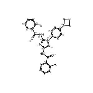 Cc1ccccc1C(=O)Nc1nc(NC(=O)c2ccccc2C)n(-c2ccc(N3CCC3)cc2)n1